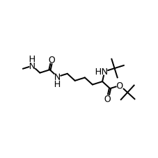 CNCC(=O)NCCCCC(NC(C)(C)C)C(=O)OC(C)(C)C